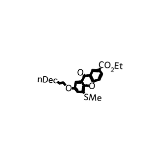 CCCCCCCCCCCCOc1cc(SC)c2oc3ccc(C(=O)OCC)cc3c(=O)c2c1